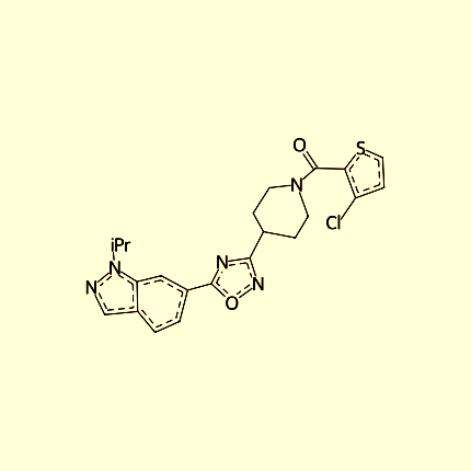 CC(C)n1ncc2ccc(-c3nc(C4CCN(C(=O)c5sccc5Cl)CC4)no3)cc21